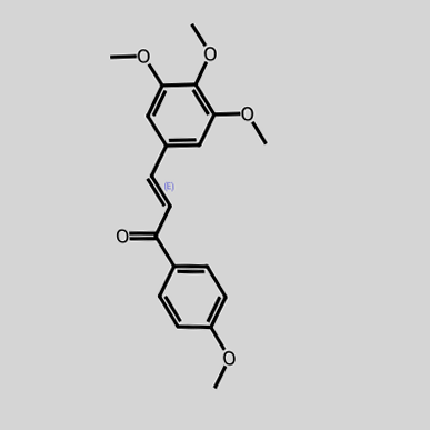 COc1ccc(C(=O)/C=C/c2cc(OC)c(OC)c(OC)c2)cc1